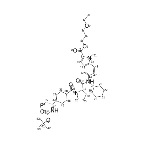 CCOCCCOC(=O)c1cc2cc(NC(=O)[C@@H]3[C@H](C4CCCCC4)CCN3C(=O)C3CCC([C@@H](CF)NC(=O)OC(C)(C)C)CC3)ccc2n1C